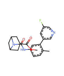 COC(=O)C1CC2CC(C1)N2C(=O)Nc1ccc(C)c(-c2cncc(F)c2)c1